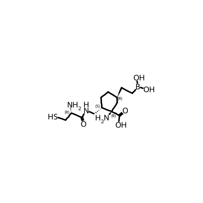 N[C@@H](CS)C(=O)NC[C@@H]1CC[C@@H](CCB(O)O)C[C@]1(N)C(=O)O